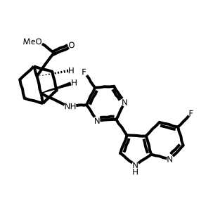 COC(=O)[C@@H]1C2CCC(CC2)[C@H]1Nc1nc(-c2c[nH]c3ncc(F)cc23)ncc1F